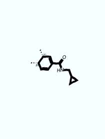 C[C@@H]1C=C(C(=O)NCC2CC2)C=C[C@@H]1C